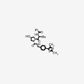 Cc1nc(C)c(-c2ccc(CNC(=O)[C@@H]3C[C@@H](O)CN3C(=O)C(NC(=O)C(C)C)C(C)(C)C)cc2)s1